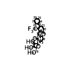 O=c1ccn([C@@H]2O[C@H](CO)C(O)C2O)c(=O)n1Cc1nccc(-c2ccccc2)c1C(F)(F)F